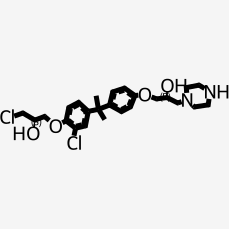 CC(C)(c1ccc(OC[C@H](O)CN2CCNCC2)cc1)c1ccc(OC[C@H](O)CCl)c(Cl)c1